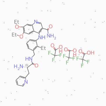 CCOc1cc2ncc(C(N)=O)c(Nc3cccc(CNC(=O)[C@@H](N)Cc4ccccn4)c3CC)c2cc1OCC.O=C(O)C(F)(F)F.O=C(O)C(F)(F)F.O=C(O)C(F)(F)F